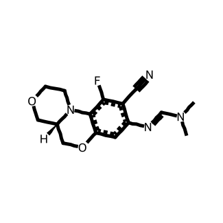 CN(C)/C=N/c1cc2c(c(F)c1C#N)N1CCOC[C@H]1CO2